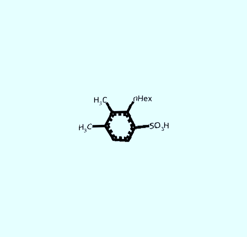 CCCCCCc1c(S(=O)(=O)O)ccc(C)c1C